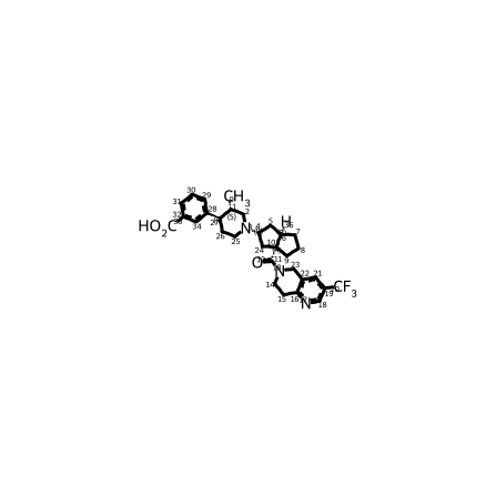 C[C@@H]1CN([C@@H]2C[C@H]3CCC[C@@]3(C(=O)N3CCc4ncc(C(F)(F)F)cc4C3)C2)CC[C@H]1c1cccc(C(=O)O)c1